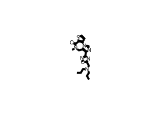 CCCN(CCC)Cc1nc(-c2ncn3c2CN(C)C(=O)c2sccc2-3)no1